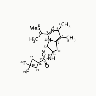 CSC(C)C1=N[C@@H](C)C(C)=C2CC(NS(=O)(=O)C3CC(F)(F)C3)CN12